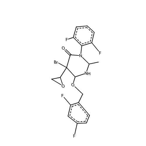 CC1NC(OCc2ccc(F)cc2F)C(Br)(C2CO2)C(=O)N1c1c(F)cccc1F